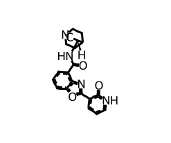 O=C(N[C@@H]1CN2CCC1CC2)c1cccc2oc(-c3ccc[nH]c3=O)nc12